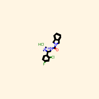 CN(C)C(CNC(=O)N1Cc2ccccc2C1)c1ccc(F)cc1Cl.Cl